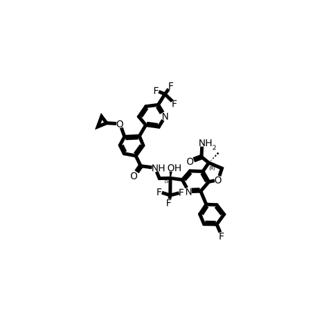 C[C@]1(C(N)=O)COc2c1cc([C@@](O)(CNC(=O)c1ccc(OC3CC3)c(-c3ccc(C(F)(F)F)nc3)c1)C(F)(F)F)nc2-c1ccc(F)cc1